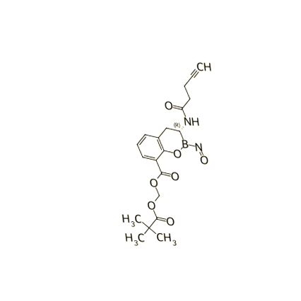 C#CCCC(=O)N[C@H]1Cc2cccc(C(=O)OCOC(=O)C(C)(C)C)c2OB1N=O